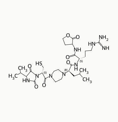 CC(C)C[C@H](C(=O)N[C@@H](CCCNC(=N)N)C(=O)NC1CCOC1=O)N1CCN(C(=O)[C@@H](CS)N2C(=O)NC(C(C)C)C2=O)CC1